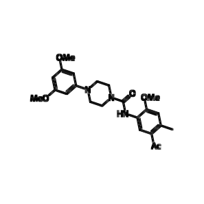 COc1cc(OC)cc(N2CCN(C(=O)Nc3cc(C(C)=O)c(C)cc3OC)CC2)c1